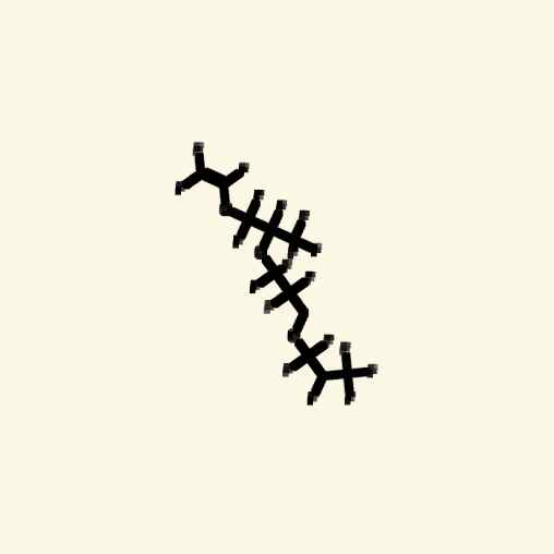 FC(F)=C(F)OC(F)(F)C(F)(OC(F)(F)C(F)(F)COC(F)(F)C(F)C(F)(F)F)C(F)(F)F